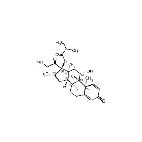 CC(O)C(=O)O[C@]1(C(=O)CO)[C@@H](C)C[C@H]2[C@@H]3CCC4=CC(=O)C=C[C@]4(C)[C@@]3(Cl)[C@@H](O)C[C@@]21C